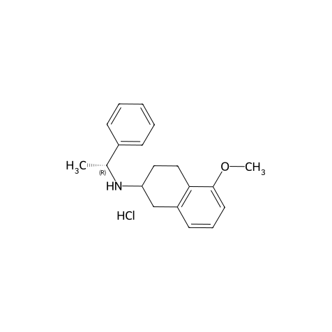 COc1cccc2c1CCC(N[C@H](C)c1ccccc1)C2.Cl